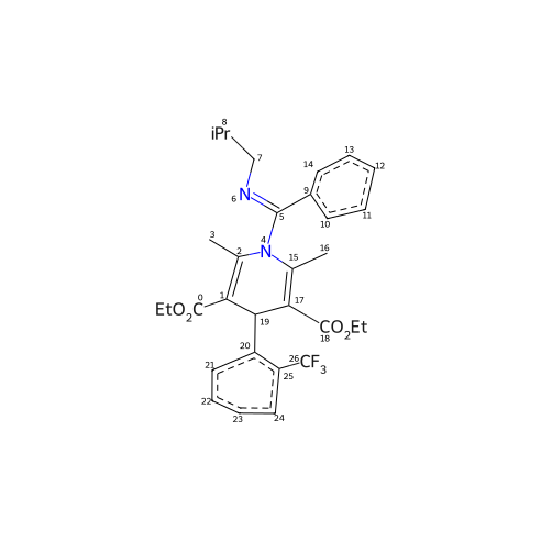 CCOC(=O)C1=C(C)N(C(=NCC(C)C)c2ccccc2)C(C)=C(C(=O)OCC)C1c1ccccc1C(F)(F)F